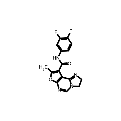 Cc1oc2c(c1C(=O)Nc1ccc(F)c(F)c1)C1=NCCN1C=N2